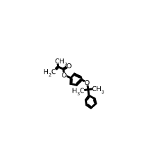 C=C(C)C(=O)Oc1ccc(OC(C)(C)c2ccccc2)cc1